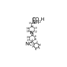 N#CC1(c2ccccc2)CCC(N2CCC(CNC(=O)O)CC2)CC1